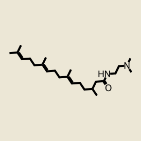 CC(C)=CCC/C(C)=C/CC/C(C)=C/CCC(C)CC(=O)NCCN(C)C